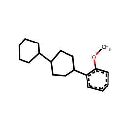 COc1ccccc1[C]1CCC(C2CCCCC2)CC1